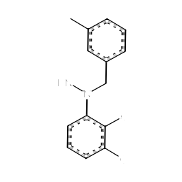 Cc1cccc(CN(N)c2cccc(Cl)c2Cl)c1